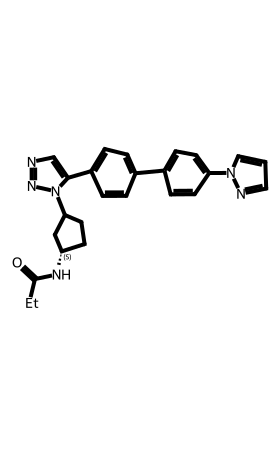 CCC(=O)N[C@H]1CCC(n2nncc2-c2ccc(-c3ccc(-n4cccn4)cc3)cc2)C1